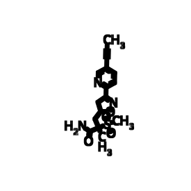 CC#Cc1ccc(C2=NOC(CC(C)(C(N)=O)S(C)(=O)=O)C2)nc1